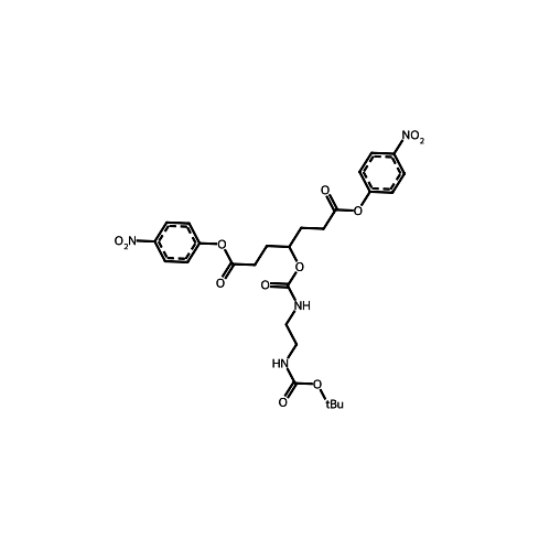 CC(C)(C)OC(=O)NCCNC(=O)OC(CCC(=O)Oc1ccc([N+](=O)[O-])cc1)CCC(=O)Oc1ccc([N+](=O)[O-])cc1